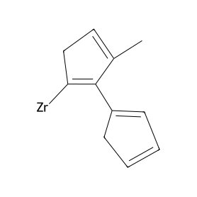 CC1=CC[C]([Zr])=C1C1=CC=CC1